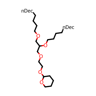 CCCCCCCCCCCCCCOCC(COCCOC1CCCCO1)OCCCCCCCCCCCCCC